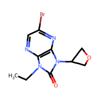 CCn1c(=O)n(C2COC2)c2nc(Br)cnc21